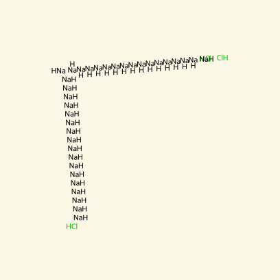 Cl.Cl.Cl.[NaH].[NaH].[NaH].[NaH].[NaH].[NaH].[NaH].[NaH].[NaH].[NaH].[NaH].[NaH].[NaH].[NaH].[NaH].[NaH].[NaH].[NaH].[NaH].[NaH].[NaH].[NaH].[NaH].[NaH].[NaH].[NaH].[NaH].[NaH].[NaH].[NaH].[NaH].[NaH].[NaH].[NaH]